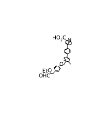 CCOC(C=O)Cc1ccc(OCc2sc(-c3ccc(-c4cc(C(=O)O)no4)cc3)cc2C)cc1